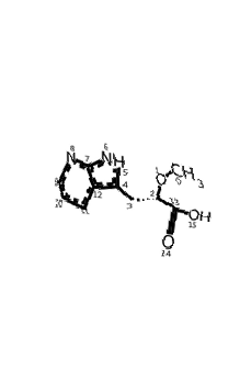 CO[C@@H](Cc1c[nH]c2ncccc12)C(=O)O